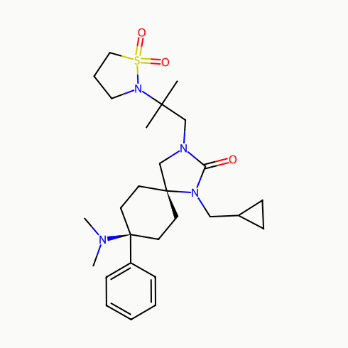 CN(C)[C@]1(c2ccccc2)CC[C@@]2(CC1)CN(CC(C)(C)N1CCCS1(=O)=O)C(=O)N2CC1CC1